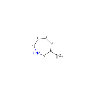 O=[N+]([O-])C1CCCCNC1